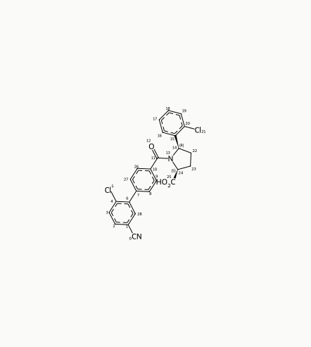 N#Cc1ccc(Cl)c(-c2ccc(C(=O)N3[C@@H](c4ccccc4Cl)CC[C@H]3C(=O)O)cc2)c1